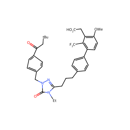 CCn1c(CCCc2ccc(-c3ccc(OC)c(CC(=O)O)c3C(F)(F)F)cc2)nn(Cc2ccc(C(=O)CC(C)(C)C)cc2)c1=O